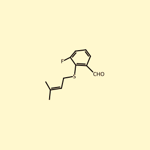 CC(C)=CCSc1c(F)cccc1C=O